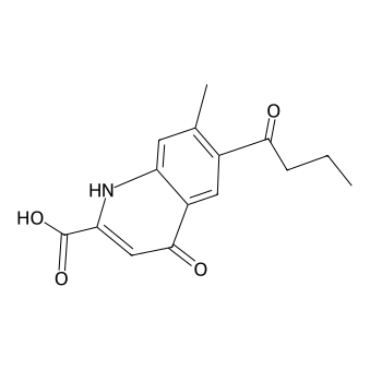 CCCC(=O)c1cc2c(=O)cc(C(=O)O)[nH]c2cc1C